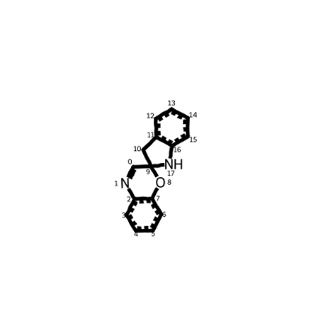 C1=Nc2ccccc2OC12Cc1ccccc1N2